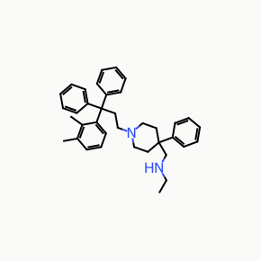 CCNCC1(c2ccccc2)CCN(CCC(c2ccccc2)(c2ccccc2)c2cccc(C)c2C)CC1